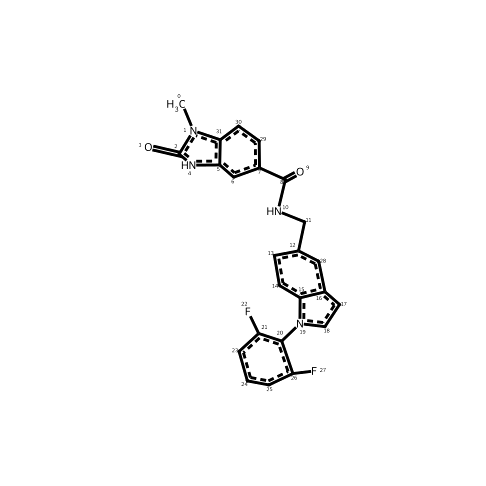 Cn1c(=O)[nH]c2cc(C(=O)NCc3ccc4c(ccn4-c4c(F)cccc4F)c3)ccc21